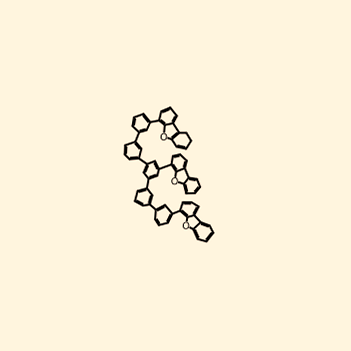 C1=Cc2oc3c(-c4cccc(-c5cccc(-c6cc(-c7cccc(-c8cccc(-c9cccc%10c9oc9ccccc9%10)c8)c7)cc(-c7cccc8c7oc7ccccc78)c6)c5)c4)cccc3c2CC1